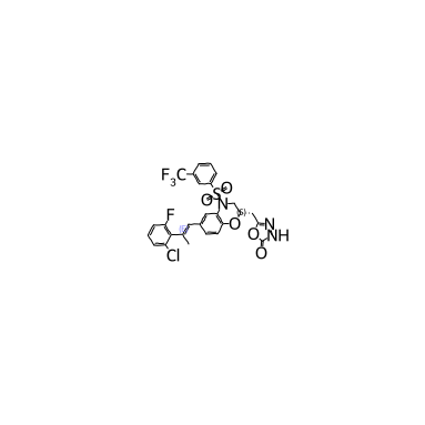 C/C(=C\c1ccc2c(c1)N(S(=O)(=O)c1cccc(C(F)(F)F)c1)C[C@H](Cc1n[nH]c(=O)o1)O2)c1c(F)cccc1Cl